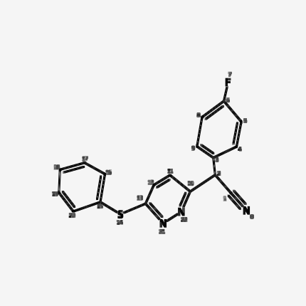 N#CC(c1ccc(F)cc1)c1ccc(Sc2ccccc2)nn1